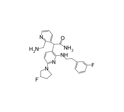 NCc1ncccc1C(C(N)=O)c1ccc(N2CC[C@H](F)C2)nc1NCCc1cccc(F)c1